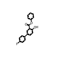 O=C(Oc1ccccc1)c1cc(-c2ccc(F)cc2)ccc1O